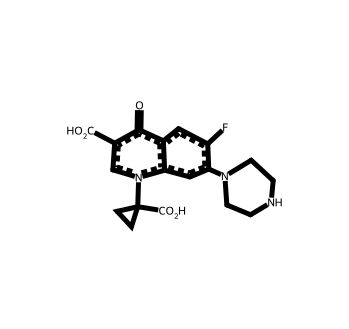 O=C(O)c1cn(C2(C(=O)O)CC2)c2cc(N3CCNCC3)c(F)cc2c1=O